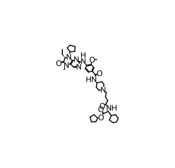 CC[C@@H]1C(=O)N(C)c2cnc(Nc3ccc(C(=O)NC4CCN(CCCC(=O)N[C@@H](C(=O)OC5CCCC5)C5CCCCC5)CC4)cc3OC)nc2N1C1CCCC1